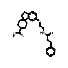 COC(=O)C1CCC2(CCc3ccc(OCCNC(=O)CCc4ccccc4)cc32)CC1